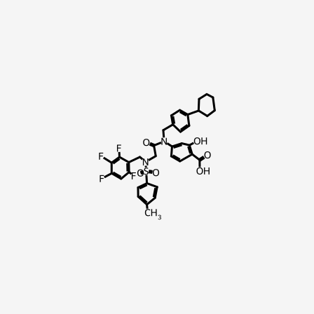 Cc1ccc(S(=O)(=O)N(CC(=O)N(Cc2ccc(C3CCCCC3)cc2)c2ccc(C(=O)O)c(O)c2)Cc2c(F)cc(F)c(F)c2F)cc1